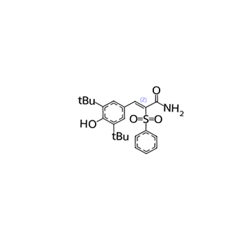 CC(C)(C)c1cc(/C=C(/C(N)=O)S(=O)(=O)c2ccccc2)cc(C(C)(C)C)c1O